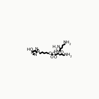 NCCC[C@H](NC(=O)[C@@H](N)CCCN)C(=O)OC(=O)OCCCCCn1cnc2c(O)ncnc21